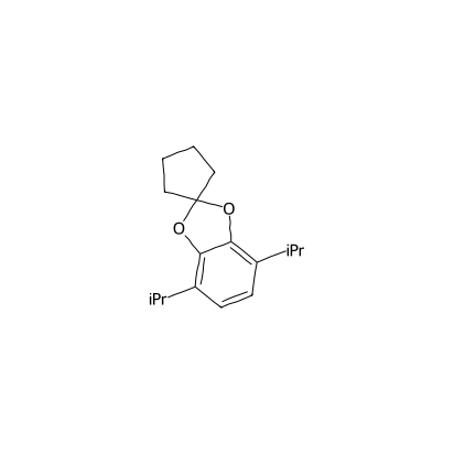 CC(C)c1ccc(C(C)C)c2c1OC1(CCCC1)O2